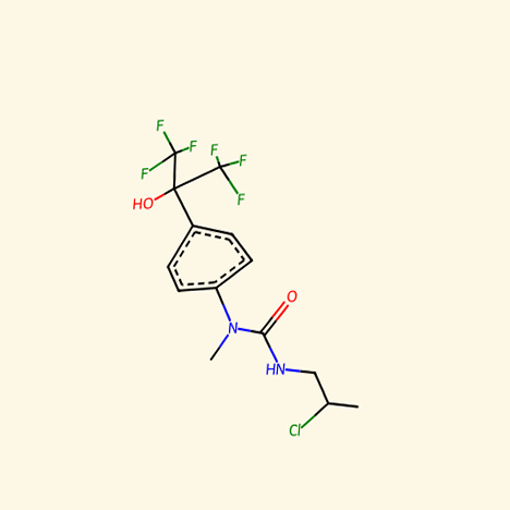 CC(Cl)CNC(=O)N(C)c1ccc(C(O)(C(F)(F)F)C(F)(F)F)cc1